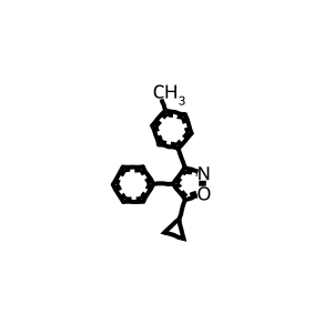 Cc1ccc(-c2noc(C3CC3)c2-c2ccccc2)cc1